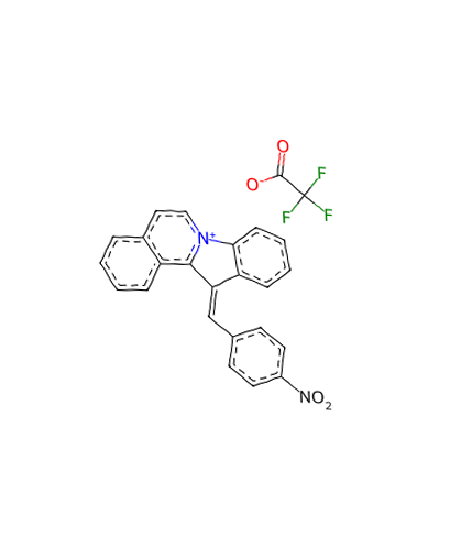 O=C([O-])C(F)(F)F.O=[N+]([O-])c1ccc(C=C2c3ccccc3-[n+]3ccc4ccccc4c32)cc1